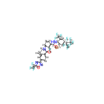 O=C(Nc1c(Br)cc(C(F)(C(F)(F)F)C(F)(F)F)cc1C(F)(F)F)c1cccc(N(CC2CC2)C(=O)c2ccc(-c3noc(C(F)(F)F)n3)cc2)c1F